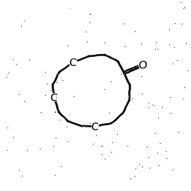 O=C1CCCCCCC[CH]CCCCCCC1